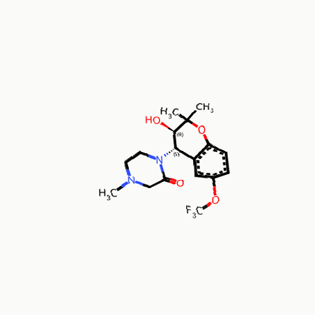 CN1CCN([C@H]2c3cc(OC(F)(F)F)ccc3OC(C)(C)[C@@H]2O)C(=O)C1